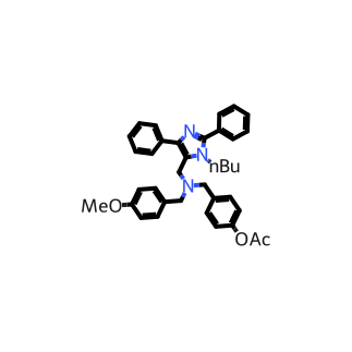 CCCCn1c(-c2ccccc2)nc(-c2ccccc2)c1CN(Cc1ccc(OC)cc1)Cc1ccc(OC(C)=O)cc1